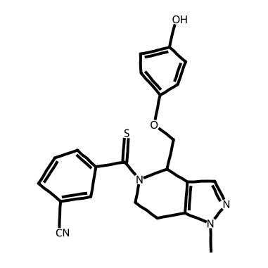 Cn1ncc2c1CCN(C(=S)c1cccc(C#N)c1)C2COc1ccc(O)cc1